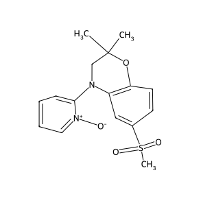 CC1(C)CN(c2cccc[n+]2[O-])c2cc(S(C)(=O)=O)ccc2O1